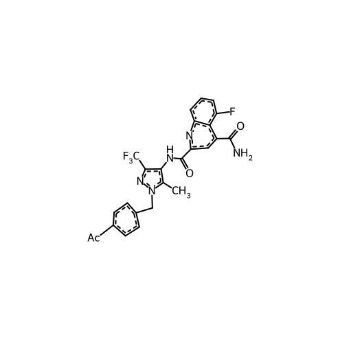 CC(=O)c1ccc(Cn2nc(C(F)(F)F)c(NC(=O)c3cc(C(N)=O)c4c(F)cccc4n3)c2C)cc1